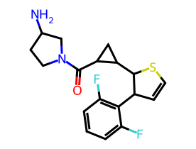 NC1CCN(C(=O)C2CC2C2SC=CC2c2c(F)cccc2F)C1